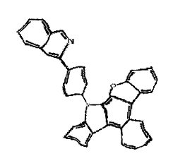 C1=CC(n2c3ccccc3c3c4ccccc4c4c5ccccc5oc4c32)CC=C1c1cc2ccccc2cn1